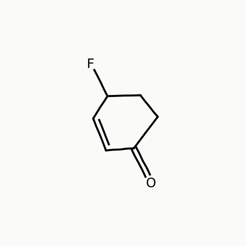 O=C1C=CC(F)CC1